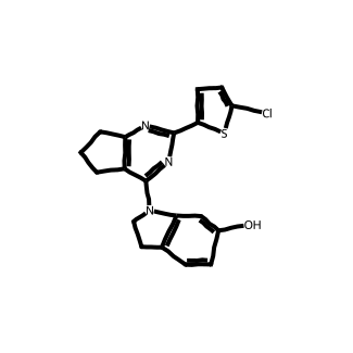 Oc1ccc2c(c1)N(c1nc(-c3ccc(Cl)s3)nc3c1CCC3)CC2